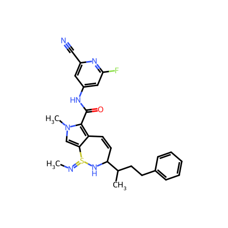 C/N=S1/NC(C(C)CCc2ccccc2)C=Cc2c1cn(C)c2C(=O)Nc1cc(F)nc(C#N)c1